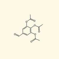 CC(=O)Oc1cc([C]=O)cc(OC(C)=O)c1OC(C)=O